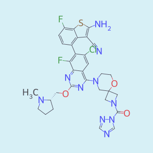 CN1CCC[C@H]1COc1nc(N2CCOC3(CN(C(=O)n4cncn4)C3)C2)c2cc(Cl)c(-c3ccc(F)c4sc(N)c(C#N)c34)c(F)c2n1